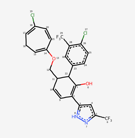 OC1=C(c2cc(C(F)(F)F)n[nH]2)C=CC(COC2=CCC=C(Cl)C=C2)C1c1ccc(Cl)c(C(F)(F)F)c1